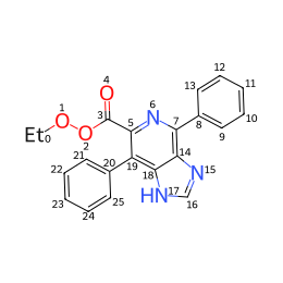 CCOOC(=O)c1nc(-c2ccccc2)c2nc[nH]c2c1-c1ccccc1